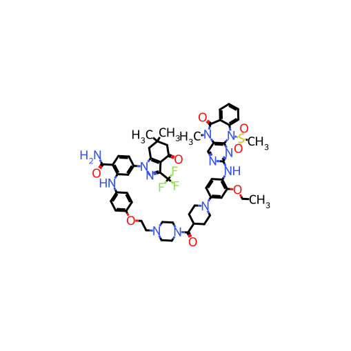 CCOc1cc(N2CCC(C(=O)N3CCN(CCOc4ccc(Nc5cc(-n6nc(C(F)(F)F)c7c6CC(C)(C)CC7=O)ccc5C(N)=O)cc4)CC3)CC2)ccc1Nc1ncc2c(n1)N(S(C)(=O)=O)c1ccccc1C(=O)N2C